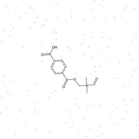 C=C[Si](C)(C)COC(=O)c1ccc(C(=O)O)cc1